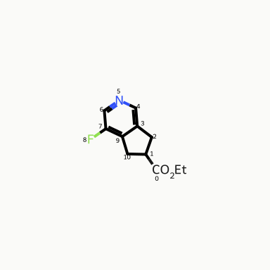 CCOC(=O)C1Cc2cncc(F)c2C1